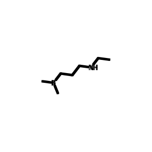 CCNCCCB(C)C